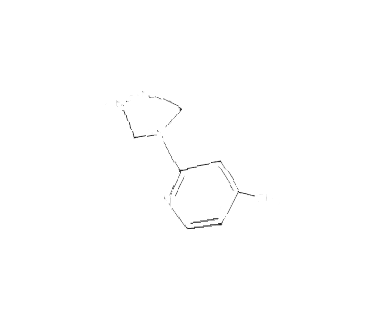 Cc1ccnc(N2CNNC2)c1